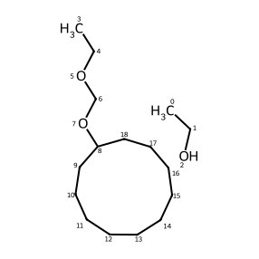 CCO.CCOCOC1CCCCCCCCCC1